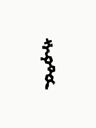 CC(C)(C)NC(=O)OCc1ccc(-n2ccc(-c3ccc(C#N)c(F)c3)n2)cc1F